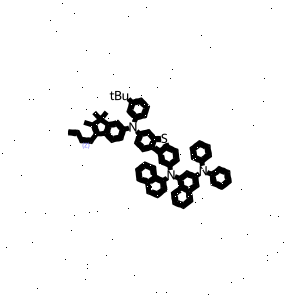 C=C/C=C\C1=C(C)C(C)(C)c2cc(N(c3cccc(C(C)(C)C)c3)c3ccc4c(c3)sc3ccc(N(c5cccc6ccccc56)c5cc(N(c6ccccc6)c6ccccc6)cc6ccccc56)cc34)ccc21